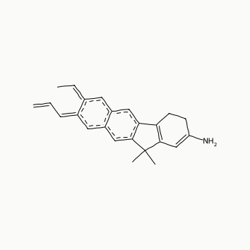 C=C/C=c1/cc2cc3c(cc2c/c1=C/C)C1=C(C=C(N)CC1)C3(C)C